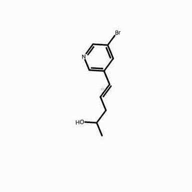 CC(O)C/C=C/c1cncc(Br)c1